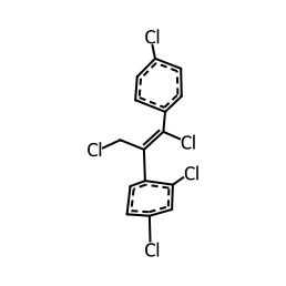 ClCC(=C(Cl)c1ccc(Cl)cc1)c1ccc(Cl)cc1Cl